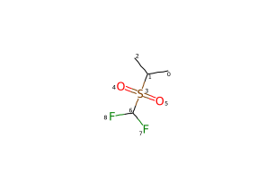 CC(C)S(=O)(=O)C(F)F